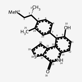 CNC[C@H](C)c1ccc(-c2c(O)ccc3[nH]c(=O)c4sccc4c23)cc1C